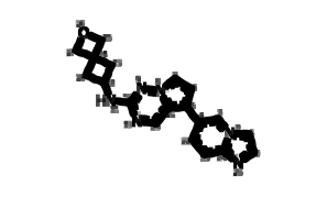 c1cn2cc(-c3ccn4nc(NC5CC6(COC6)C5)ncc34)ccc2n1